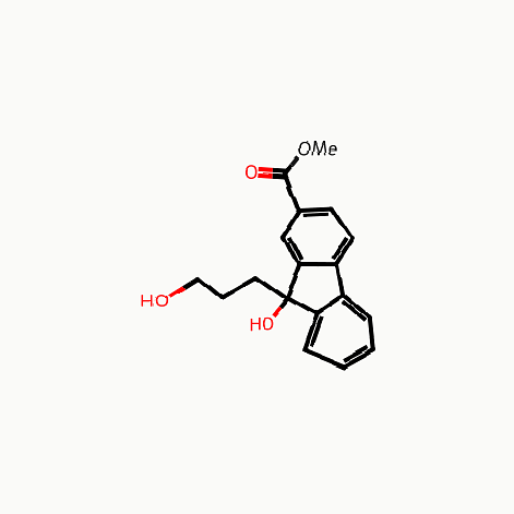 COC(=O)c1ccc2c(c1)C(O)(CCCO)c1ccccc1-2